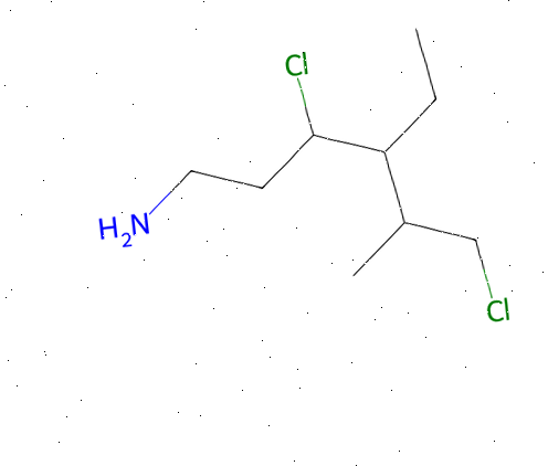 CCC(C(C)CCl)C(Cl)CCN